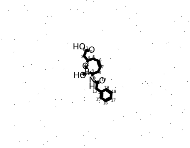 O=C(O)CC1C/C=C\CC(NC(=O)Cc2ccccc2)B(O)O1